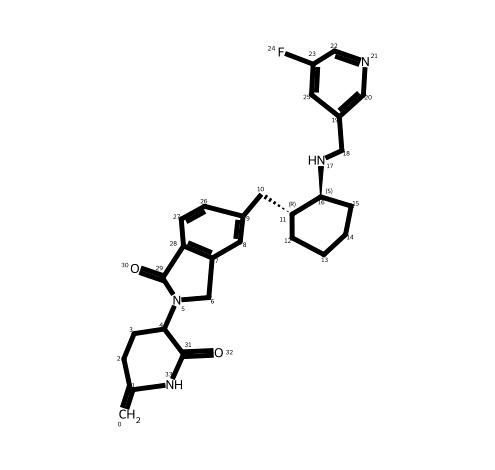 C=C1CCC(N2Cc3cc(C[C@H]4CCCC[C@@H]4NCc4cncc(F)c4)ccc3C2=O)C(=O)N1